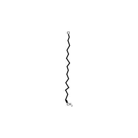 C=CCCCCCCCCCCCCCCCCl